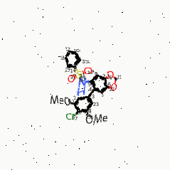 COc1cc(-c2cc3c(cc2NS(=O)(=O)c2ccccc2)OCO3)cc(OC)c1Cl